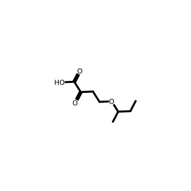 CCC(C)OCCC(=O)C(=O)O